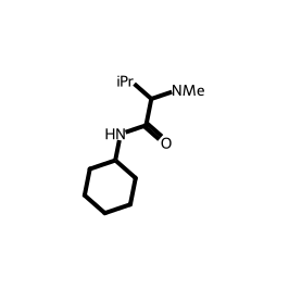 CNC(C(=O)NC1CCCCC1)C(C)C